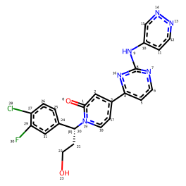 O=c1cc(-c2ccnc(Nc3ccnnc3)n2)ccn1[C@H](CCO)c1ccc(Cl)c(F)c1